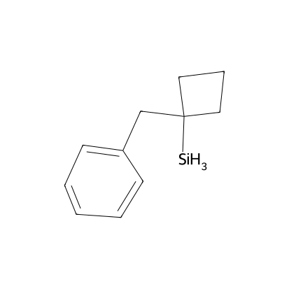 [SiH3]C1(Cc2ccccc2)CCC1